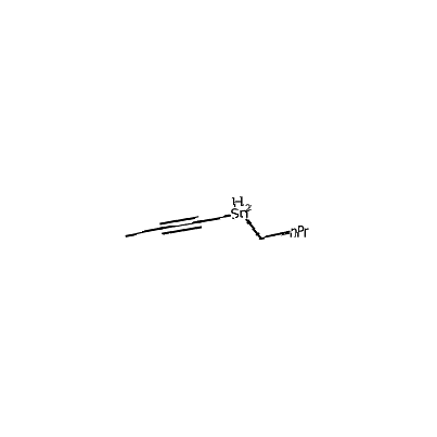 CC#[C][SnH2][CH2]CCC